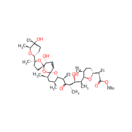 CCCCOC(=O)[C@H](CC)[C@H]1CC[C@H](C)[C@H]([C@@H](C)[C@H](O)[C@H](C)C(=O)[C@H](CC)[C@H]2O[C@]3(C=C[C@@H](O)[C@]4(CC[C@@](C)([C@H]5CC[C@](O)(CC)[C@H](C)O5)O4)O3)[C@H](C)C[C@@H]2C)O1